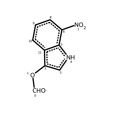 O=[C]Oc1c[nH]c2c([N+](=O)[O-])cccc12